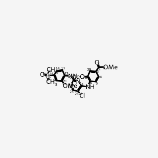 COC(=O)c1ccc(Nc2nc(Nc3ccc(P(C)(C)=O)cc3OC)ncc2Cl)c(OC)c1